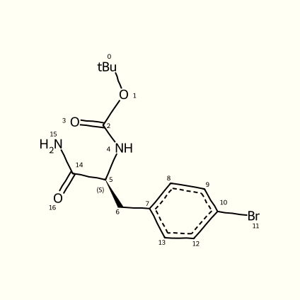 CC(C)(C)OC(=O)N[C@@H](Cc1ccc(Br)cc1)C(N)=O